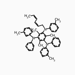 C/C=C\C=C/CN(c1cccc(C)c1)c1c(C)c(N(c2ccccc2)c2cccc(C)c2)c(C)c(N(c2ccccc2)c2cccc(C)c2)c1C